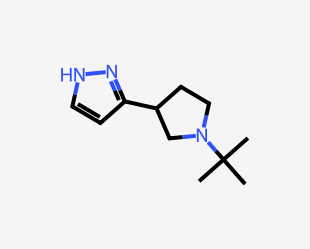 CC(C)(C)N1CCC(c2cc[nH]n2)C1